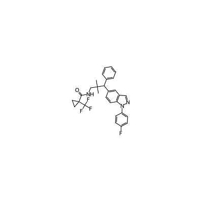 CC(C)(CNC(=O)C1(C(F)(F)F)CC1)C(c1ccccc1)c1ccc2c(cnn2-c2ccc(F)cc2)c1